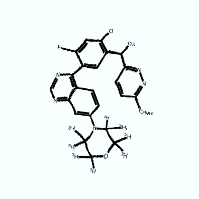 [2H]C1([2H])OC([2H])([2H])C([2H])([2H])N(c2ccc3c(-c4cc(C(O)c5ccc(OC)nn5)c(Cl)cc4F)ncnc3c2)C1([2H])[2H]